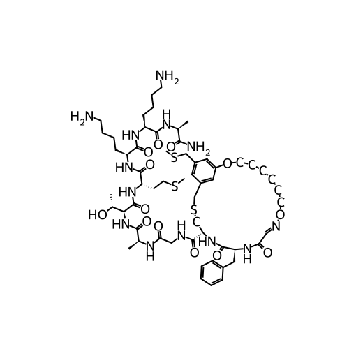 CSCC[C@H](NC(=O)[C@@H](NC(=O)[C@H](C)NC(=O)CNC(=O)[C@@H]1CSCc2cc(CSC)cc(c2)OCCCCCCO/N=C/C(=O)N[C@@H](Cc2ccccc2)C(=O)N1)[C@@H](C)O)C(=O)N[C@@H](CCCCN)C(=O)N[C@@H](CCCCN)C(=O)N[C@@H](C)C(N)=O